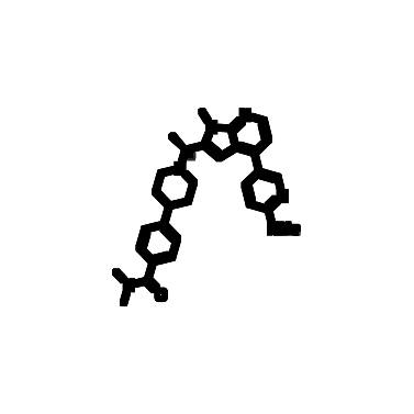 CNc1ccc(-c2ccnc3c2cc([C@H](C)N2CCC(c4ccc(C(=O)N(C)C)cc4)CC2)n3C)cn1